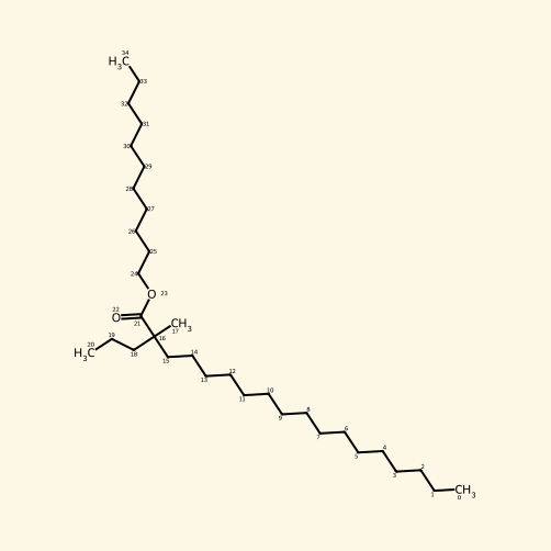 CCCCCCCCCCCCCCCCC(C)(CCC)C(=O)OCCCCCCCCCCC